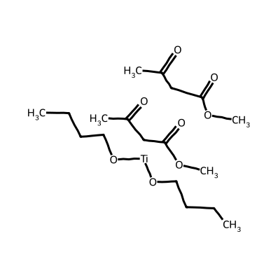 CCCC[O][Ti][O]CCCC.COC(=O)CC(C)=O.COC(=O)CC(C)=O